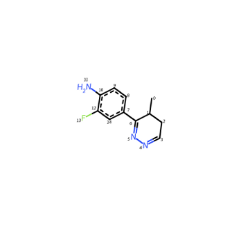 CC1CC=NN=C1c1ccc(N)c(F)c1